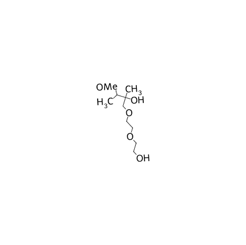 COC(C)C(C)(O)COCCOCCO